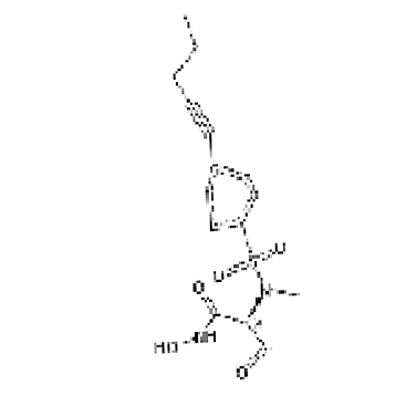 CCCC#Cc1ccc(S(=O)(=O)N(C)[C@@H]([C]=O)C(=O)NO)cc1